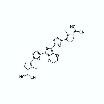 CC1=C(c2ccc(-c3sc(-c4ccc(C5=C(C)C(=C(C#N)C#N)CC5)o4)c4c3OCCO4)o2)CCC1=C(C#N)C#N